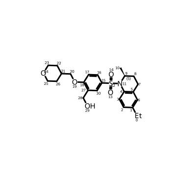 CCc1ccc2c(c1)CC[C@H](C)N2S(=O)(=O)c1ccc(OCC2CCOCC2)c(CO)c1